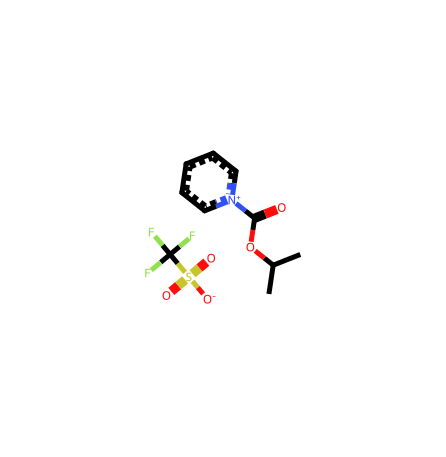 CC(C)OC(=O)[n+]1ccccc1.O=S(=O)([O-])C(F)(F)F